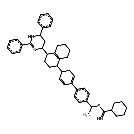 N=C(SC(N)c1ccc(C2=CCC(C3CCC(C4CC(c5ccccc5)NC(c5ccccc5)=N4)C4=C3CCCC4)C=C2)cc1)C1CCCCC1